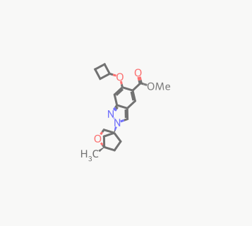 COC(=O)c1cc2cn([C@@]34CC[C@@](C)(C3)OC4)nc2cc1OC1CCC1